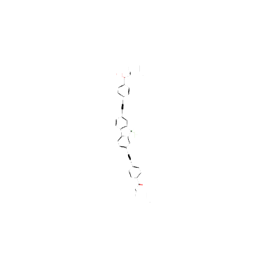 C=CC(=O)c1ccc(C#Cc2ccc3c(c2)C(F)(F)c2cc(C#Cc4ccc(C(=O)C=C)cc4)ccc2-3)cc1